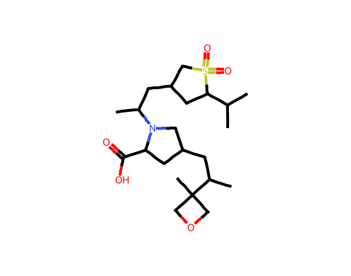 CC(C)C1CC(CC(C)N2CC(CC(C)C3(C)COC3)CC2C(=O)O)CS1(=O)=O